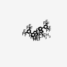 CCC1=Cc2c(-c3cc(C(F)(F)F)cc(C(F)(F)F)c3)cccc2[CH]1[Zr](=[SiH2])([CH2]C)([CH2]C)[CH]1C(C)=Cc2c(-c3cc(C(F)(F)F)cc(C(F)(F)F)c3)cccc21.Cl.Cl